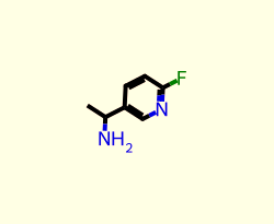 CC(N)c1ccc(F)nc1